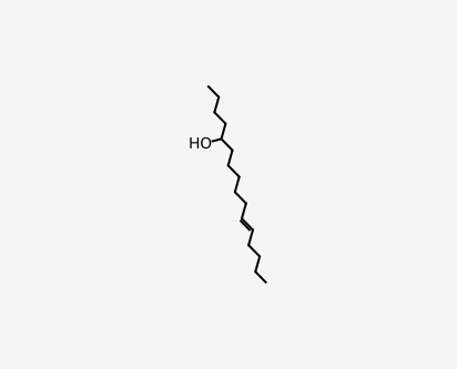 CCCCC=CCCCCCC(O)CCCC